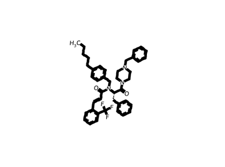 CCCCCc1ccc(CN(C(=O)C=Cc2ccccc2C(F)(F)F)[C@@H](Cc2ccccc2)C(=O)N2CCN(Cc3ccccc3)CC2)cc1